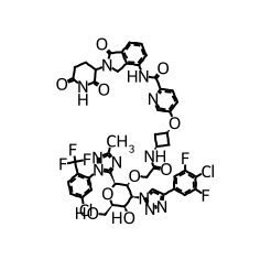 Cc1nc([C@@H]2O[C@H](CO)[C@H](O)[C@H](n3cc(-c4cc(F)c(Cl)c(F)c4)nn3)[C@H]2OCC(=O)N[C@H]2C[C@@H](Oc3ccc(C(=O)Nc4cccc5c4CN(C4CCC(=O)NC4=O)C5=O)nc3)C2)n(-c2cc(Cl)ccc2C(F)(F)F)n1